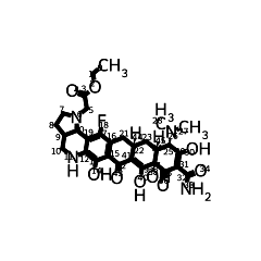 CCOC(=O)CN1CCC2CNc3c(O)c4c(c(F)c3C21)C[C@H]1C[C@H]2[C@H](N(C)C)C(O)=C(C(N)=O)C(=O)[C@@]2(O)C(O)=C1C4=O